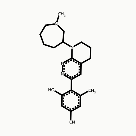 Cc1cc(C#N)cc(O)c1-c1cc2c(nn1)N(C1CCCCN(C)C1)CCC2